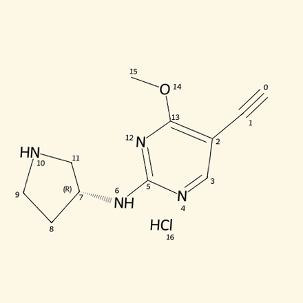 C#Cc1cnc(N[C@@H]2CCNC2)nc1OC.Cl